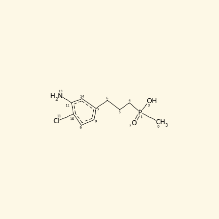 CP(=O)(O)CCCc1ccc(Cl)c(N)c1